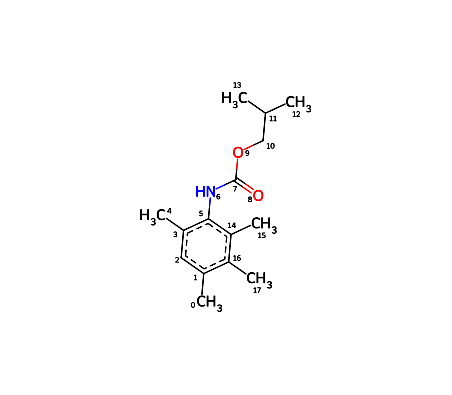 Cc1cc(C)c(NC(=O)OCC(C)C)c(C)c1C